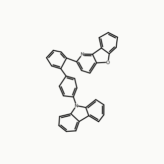 c1ccc(-c2ccc3oc4ccccc4c3n2)c(-c2ccc(-n3c4ccccc4c4ccccc43)cc2)c1